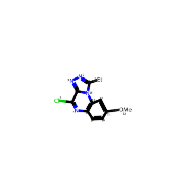 CCc1nnc2c(Cl)nc3ccc(OC)cc3n12